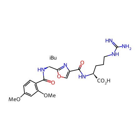 CC[C@H](C)[C@H](NC(=O)c1ccc(OC)cc1OC)c1nc(C(=O)N[C@@H](CCCNC(=N)N)C(=O)O)co1